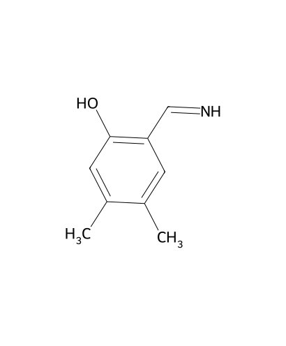 Cc1cc(O)c(C=N)cc1C